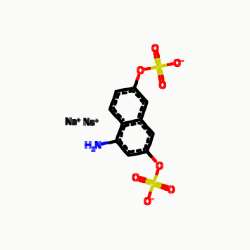 Nc1cc(OS(=O)(=O)[O-])cc2cc(OS(=O)(=O)[O-])ccc12.[Na+].[Na+]